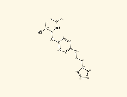 CC(C)NC(Oc1ccc(OCCn2nccn2)cc1)C(C)O